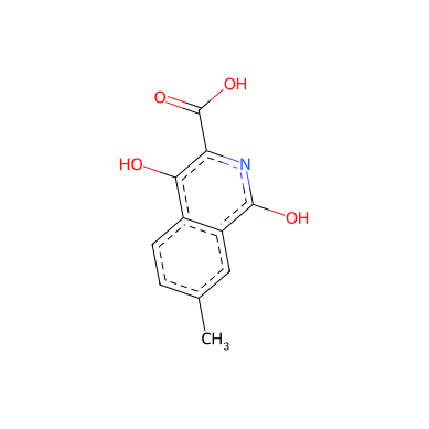 Cc1ccc2c(O)c(C(=O)O)nc(O)c2c1